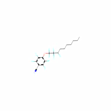 CCCCCCCC(F)C(F)(F)C(F)(F)Oc1c(F)c(F)c(C#N)c(F)c1F